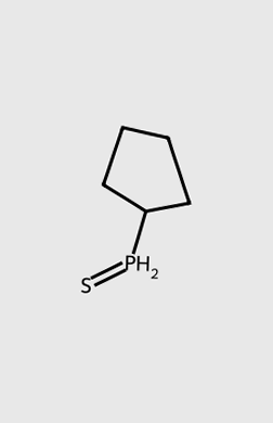 S=[PH2]C1CCCC1